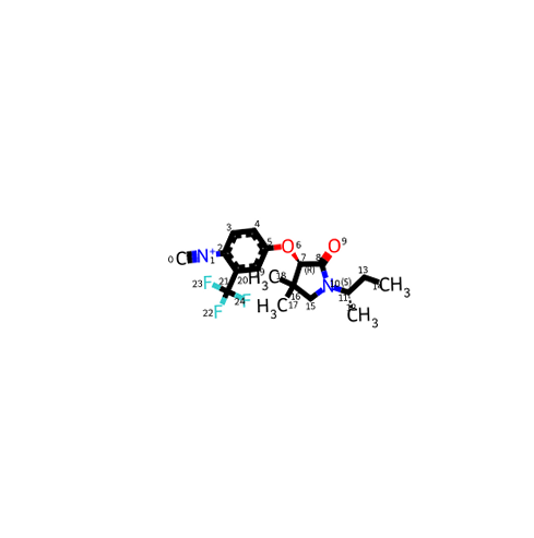 [C-]#[N+]c1ccc(O[C@H]2C(=O)N([C@@H](C)CC)CC2(C)C)cc1C(F)(F)F